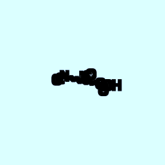 O=C=NCCCCCC(CCCCCOC(=O)O)N=C=O